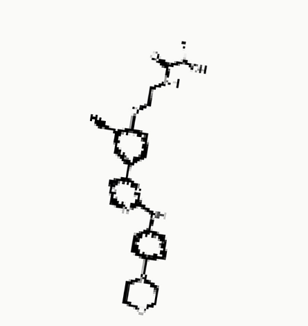 C[C@H](O)C(=O)NCCOc1ccc(-c2ccnc(Nc3ccc(N4CCOCC4)cc3)n2)cc1C#N